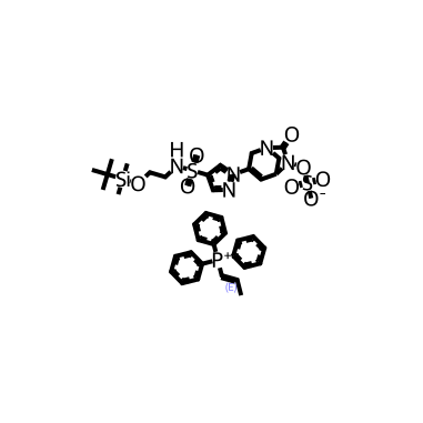 C/C=C/[P+](c1ccccc1)(c1ccccc1)c1ccccc1.CC(C)(C)[Si](C)(C)OCCNS(=O)(=O)c1cnn(C2=CC3CN(C2)C(=O)N3OS(=O)(=O)[O-])c1